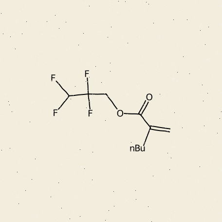 C=C(CCCC)C(=O)OCC(F)(F)C(F)F